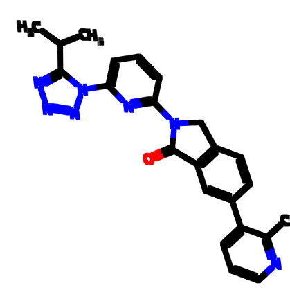 Cc1ncccc1-c1ccc2c(c1)C(=O)N(c1cccc(-n3nnnc3C(C)C)n1)C2